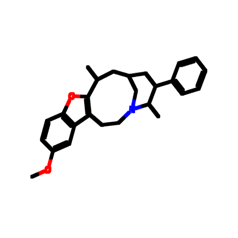 COc1ccc2oc3c(c2c1)CCN1CC(CC3C)CC(c2ccccc2)C1C